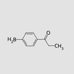 Bc1ccc(C(=O)CC)cc1